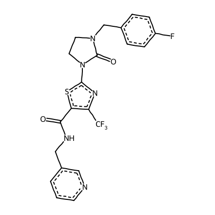 O=C(NCc1cccnc1)c1sc(N2CCN(Cc3ccc(F)cc3)C2=O)nc1C(F)(F)F